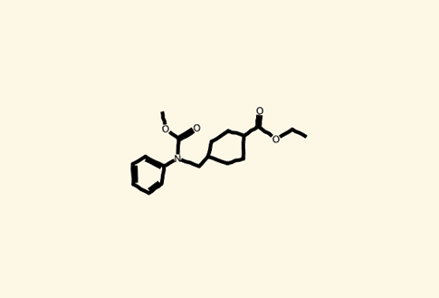 CCOC(=O)C1CCC(CN(C(=O)OC)c2ccccc2)CC1